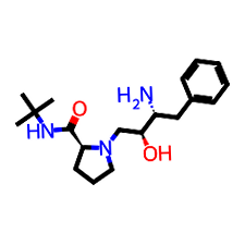 CC(C)(C)NC(=O)[C@@H]1CCCN1C[C@H](O)[C@H](N)Cc1ccccc1